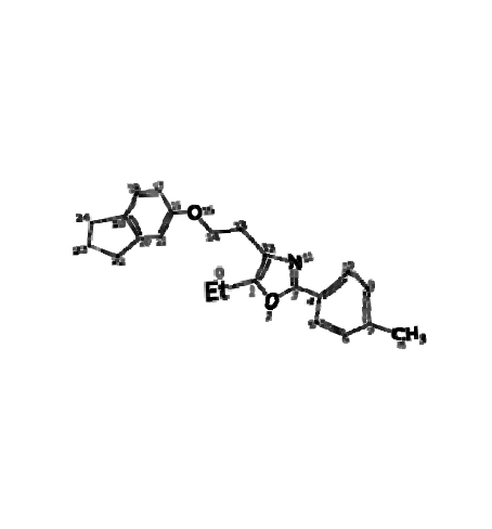 CCc1oc(-c2ccc(C)cc2)nc1CCOc1ccc2c(c1)CCC2